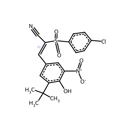 CC(C)(C)c1cc(/C=C(/C#N)S(=O)(=O)c2ccc(Cl)cc2)cc([N+](=O)[O-])c1O